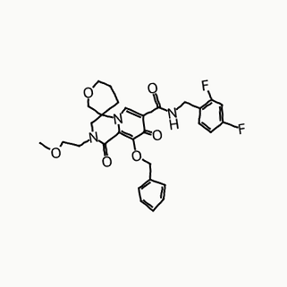 COCCN1CC2(CCCOC2)n2cc(C(=O)NCc3ccc(F)cc3F)c(=O)c(OCc3ccccc3)c2C1=O